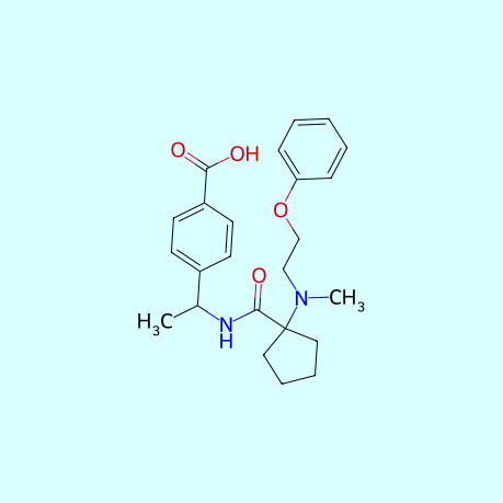 CC(NC(=O)C1(N(C)CCOc2ccccc2)CCCC1)c1ccc(C(=O)O)cc1